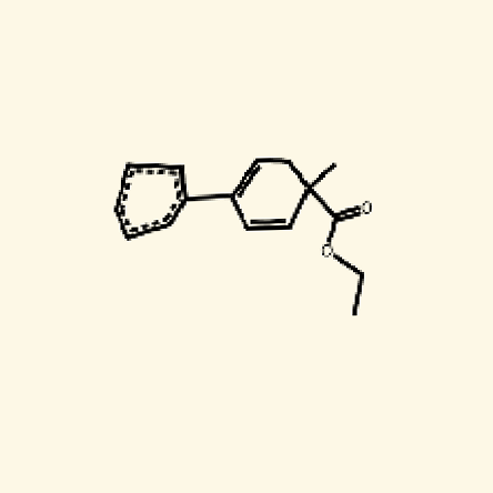 CCOC(=O)C1(C)C=CC(c2ccccc2)=CC1